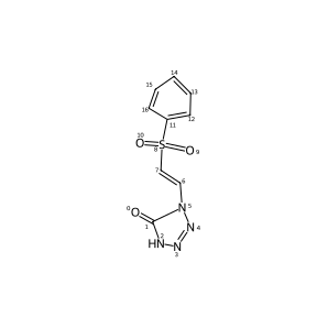 O=c1[nH]nnn1/C=C/S(=O)(=O)c1ccccc1